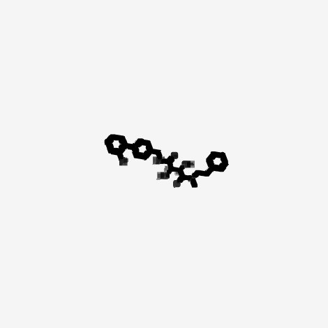 CCc1ccccc1-c1ccc(CNC(=O)[C@H](O)[C@@H](O)C(=O)N(C)CCc2ccccc2)cc1